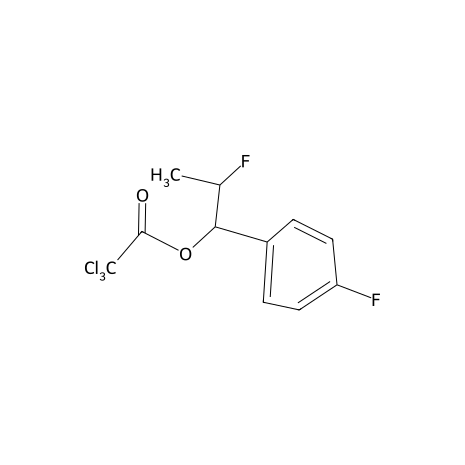 CC(F)C(OC(=O)C(Cl)(Cl)Cl)c1ccc(F)cc1